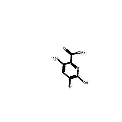 COC(=O)c1nc(O)c(Br)cc1[N+](=O)[O-]